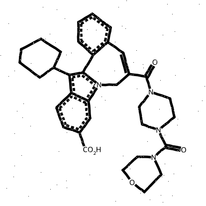 O=C(O)c1ccc2c(C3CCCCC3)c3n(c2c1)CC(C(=O)N1CCN(C(=O)N2CCOCC2)CC1)=Cc1ccccc1-3